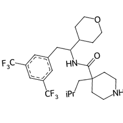 CC(C)CC1(C(=O)NC(Cc2cc(C(F)(F)F)cc(C(F)(F)F)c2)C2CCOCC2)CCNCC1